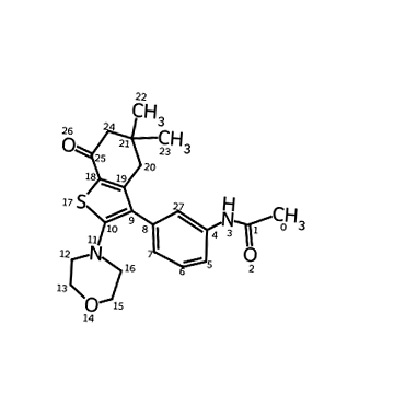 CC(=O)Nc1cccc(-c2c(N3CCOCC3)sc3c2CC(C)(C)CC3=O)c1